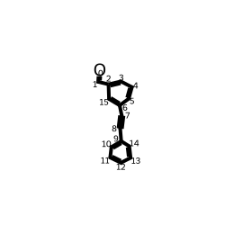 O=Cc1cccc(C#Cc2ccccc2)c1